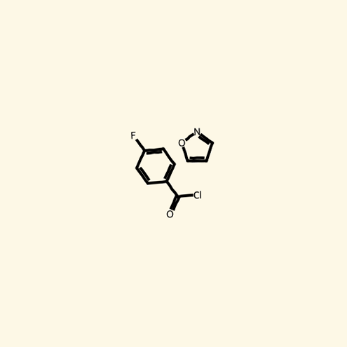 O=C(Cl)c1ccc(F)cc1.c1cnoc1